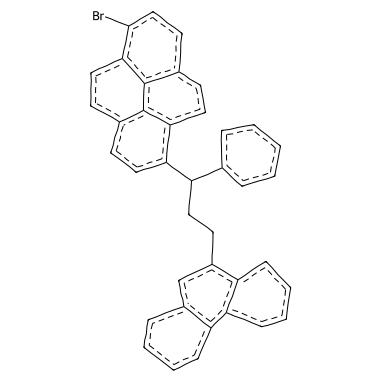 Brc1ccc2ccc3c(C(CCc4cc5ccccc5c5ccccc45)c4ccccc4)ccc4ccc1c2c43